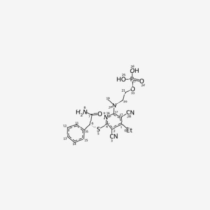 CCc1c(C#N)c(S[C@@H](C(N)=O)c2ccccc2)nc(N(C)CCOP(=O)(O)O)c1C#N